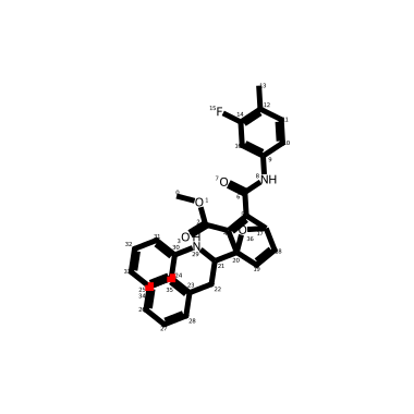 COC(=O)C1=C(C(=O)Nc2ccc(C)c(F)c2)C2C=CC1(C(Cc1ccccc1)Nc1ccccc1)O2